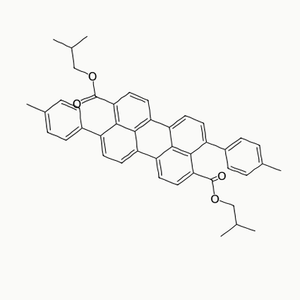 Cc1ccc(-c2ccc3c4ccc(C(=O)OCC(C)C)c5c(-c6ccc(C)cc6)ccc(c6ccc(C(=O)OCC(C)C)c2c63)c54)cc1